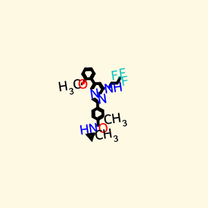 COc1ccccc1-c1cc(NCCC(F)(F)F)c2nc(-c3ccc(C(=O)NC4(C)CC4)c(C)c3)cn2c1